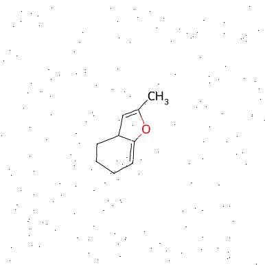 CC1=CC2CCCC=C2O1